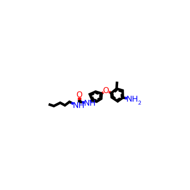 CCCCCNC(=O)Nc1ccc(Oc2ccc(N)cc2C)cc1